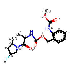 CCCCC(NC(=O)OCc1ccccc1NC(=O)OC(C)(C)C)C(=O)N1C[C@@H](F)C[C@H]1C#N